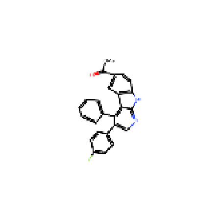 COC(=O)c1ccc2[nH]c3ncc(-c4ccc(F)cc4)c(-c4ccccc4)c3c2c1